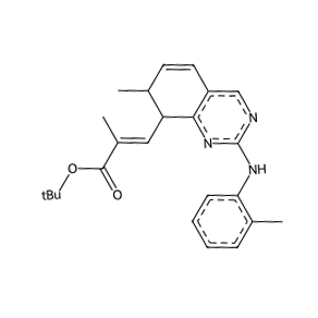 C/C(=C\C1c2nc(Nc3ccccc3C)ncc2C=CC1C)C(=O)OC(C)(C)C